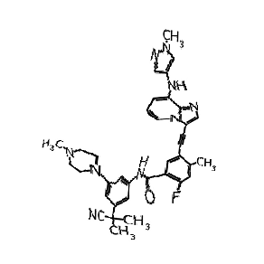 Cc1cc(F)c(C(=O)Nc2cc(N3CCN(C)CC3)cc(C(C)(C)C#N)c2)cc1C#Cc1cnc2c(Nc3cnn(C)c3)cccn12